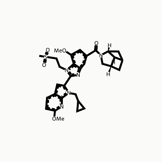 COc1ccc2cc(-c3nc4cc(C(=O)N5C[C@H]6CC7C[C@@H]5[C@H]76)cc(OC)c4n3CCS(C)(=O)=O)n(CC3CC3)c2n1